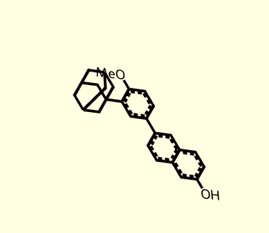 COc1ccc(-c2ccc3cc(O)ccc3c2)cc1C12CC3CC(CC(C3)C1)C2